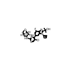 CC(C)(O)c1nc2c(F)cc(-c3nc(N[C@@H]4C[C@H]5CO[C@H](O5)[C@H]4O)ncc3Cl)cc2n1C12CC(C1)C2